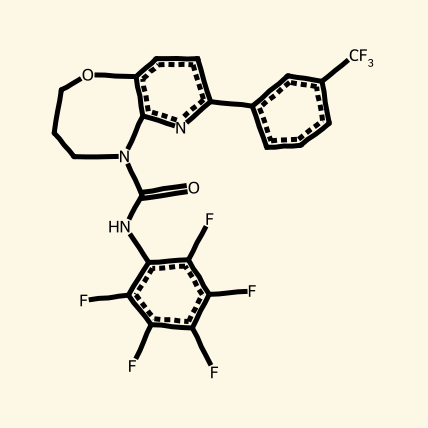 O=C(Nc1c(F)c(F)c(F)c(F)c1F)N1CCCOc2ccc(-c3cccc(C(F)(F)F)c3)nc21